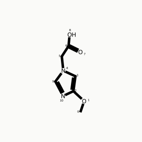 COc1cn(CC(=O)O)cn1